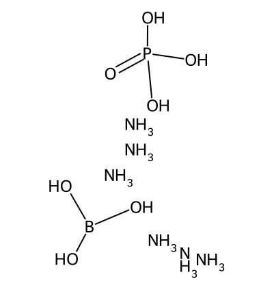 N.N.N.N.N.N.O=P(O)(O)O.OB(O)O